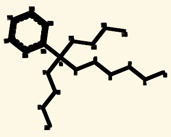 CCCCCCC(CCCC)(CCCC)c1[c]cccc1